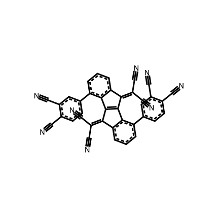 N#CC(C#N)=C1C2=C(C(=C(C#N)C#N)c3cccc(-c4ccc(C#N)c(C#N)c4)c32)c2c1cccc2-c1ccc(C#N)c(C#N)c1